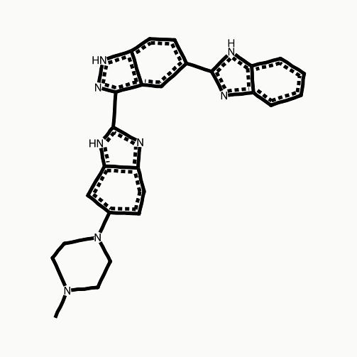 CN1CCN(c2ccc3nc(-c4n[nH]c5ccc(-c6nc7ccccc7[nH]6)cc45)[nH]c3c2)CC1